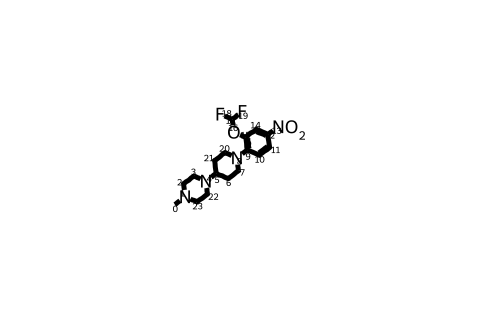 CN1CCN(C2CCN(c3ccc([N+](=O)[O-])cc3OC(F)F)CC2)CC1